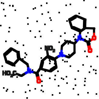 O=C(O)CN(Cc1ccccc1)C(=O)c1ccc(N2CCC(N3C(=O)OCc4ccccc43)CC2)c([N+](=O)[O-])c1